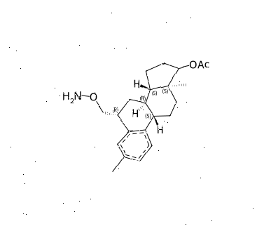 CC(=O)OC1CC[C@H]2[C@@H]3C[C@@H](CON)c4cc(C)ccc4[C@H]3CC[C@]12C